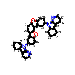 c1ccc2c(c1)c1cccnc1n2-c1ccc2oc3c(ccc4oc5ccc(-n6c7ccccc7c7cccnc76)cc5c43)c2c1